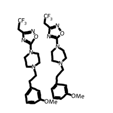 COc1cccc(CCN2CCN(c3nc(CC(F)(F)F)no3)CC2)c1.COc1cccc(CCN2CCN(c3nc(CC(F)(F)F)no3)CC2)c1